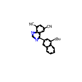 CC(C)(C)c1cc(-c2ncnc3c(C#N)cc(C#N)cc23)cc2ccccc12